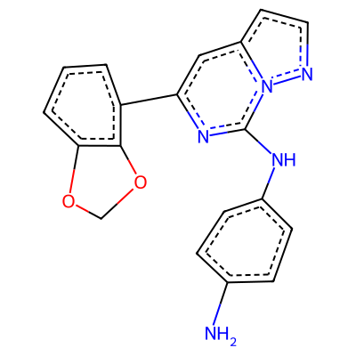 Nc1ccc(Nc2nc(-c3cccc4c3OCO4)cc3ccnn23)cc1